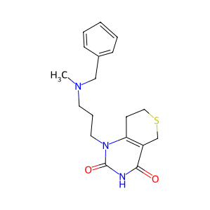 CN(CCCn1c2c(c(=O)[nH]c1=O)CSCC2)Cc1ccccc1